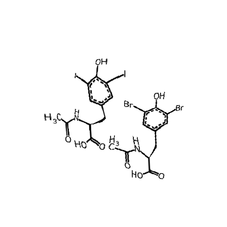 CC(=O)N[C@@H](Cc1cc(Br)c(O)c(Br)c1)C(=O)O.CC(=O)N[C@@H](Cc1cc(I)c(O)c(I)c1)C(=O)O